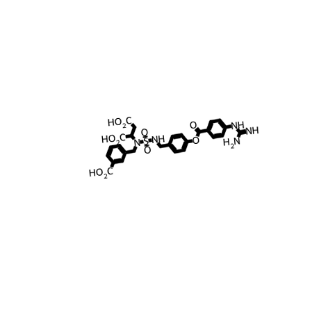 N=C(N)Nc1ccc(C(=O)Oc2ccc(CNS(=O)(=O)N(Cc3cccc(C(=O)O)c3)C(CC(=O)O)C(=O)O)cc2)cc1